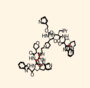 CC(C)C[C@H](NC(=O)[C@@H](NC(=O)OCc1cccnc1)C1CCN(CCC(C)C[C@H](NC(=O)[C@@H](NC(=O)OCc2cccnc2)C2CCOC2)C(=O)N[C@@H](C[C@@H]2CCNC2=O)C(=O)c2nc3ccccc3o2)C1)C(=O)N[C@@H](C[C@@H]1CCNC1=O)C(=O)c1nc2ccccc2s1